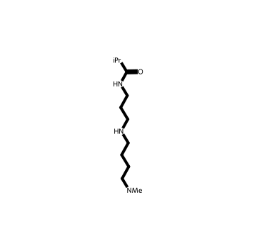 CNCCCCNCCCNC(=O)C(C)C